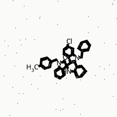 Cc1ccc(CN2C(=O)C3(Nc4ccccc4-c4c3c3ccc(Cl)cc3n4Cc3ccccc3)c3ccccc32)cc1